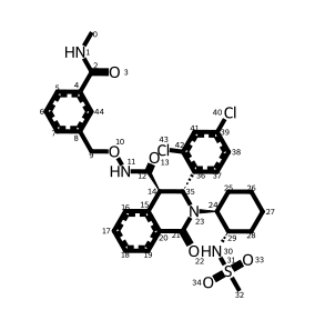 CNC(=O)c1cccc(CONC(=O)[C@@H]2c3ccccc3C(=O)N([C@H]3CCCC[C@@H]3NS(C)(=O)=O)[C@H]2c2ccc(Cl)cc2Cl)c1